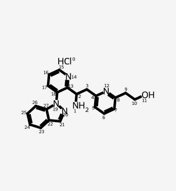 Cl.NC(Cc1cccc(CCO)n1)c1ncccc1-n1ncc2ccccc21